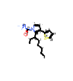 CCCCCC(CC)c1c(-c2cccs2)ccn1C(N)=O